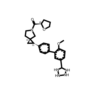 COc1ccc(C2NNNN2)cc1-c1ccc([C@@H]2C[C@]23CCN(C(=O)[C@H]2CCCO2)C3)cc1